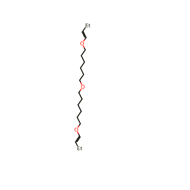 CCC=COCCCCCCOCCCCCCOC=CCC